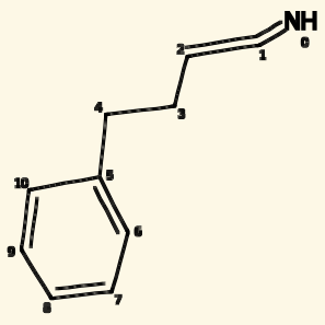 N=C=CCCc1ccccc1